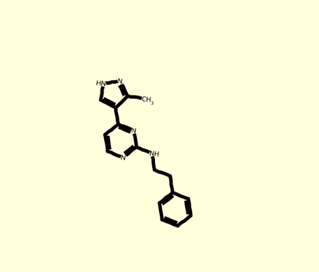 Cc1n[nH]cc1-c1ccnc(NCCc2ccccc2)n1